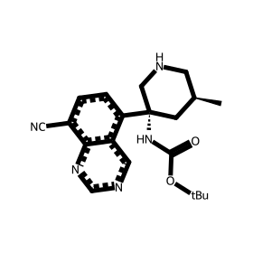 C[C@@H]1CNC[C@](NC(=O)OC(C)(C)C)(c2ccc(C#N)c3ncncc23)C1